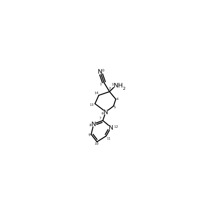 N#CC1(N)CCN(c2ncccn2)CC1